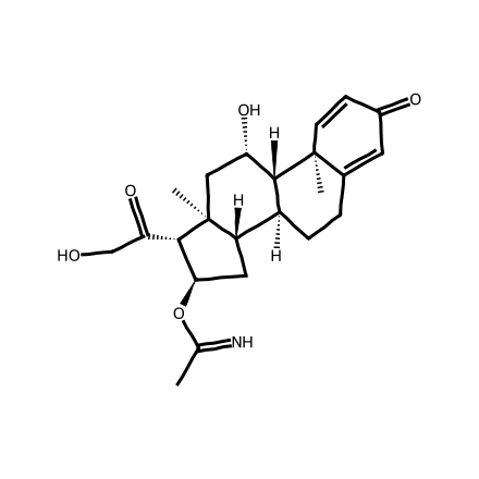 CC(=N)O[C@@H]1C[C@H]2[C@@H]3CCC4=CC(=O)C=C[C@]4(C)[C@H]3[C@@H](O)C[C@]2(C)[C@H]1C(=O)CO